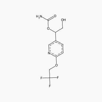 NC(=O)OC(CO)c1ccc(OCC(F)(F)F)nc1